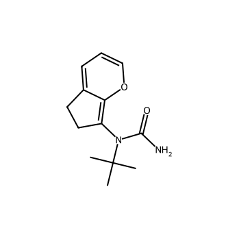 CC(C)(C)N(C(N)=O)C1=C2OC=CC=C2CC1